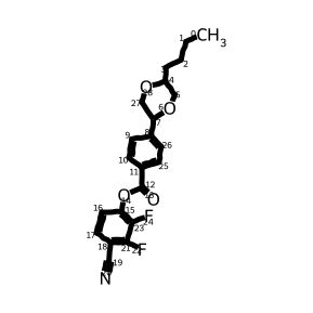 CCCCC1COC(c2ccc(C(=O)Oc3ccc(C#N)c(F)c3F)cc2)CO1